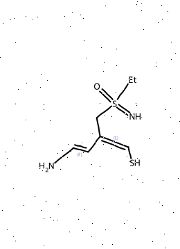 CCS(=N)(=O)CC(/C=C/N)=C/S